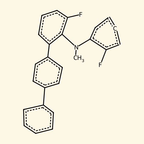 CN(c1ccccc1F)c1c(F)cccc1-c1ccc(-c2ccccc2)cc1